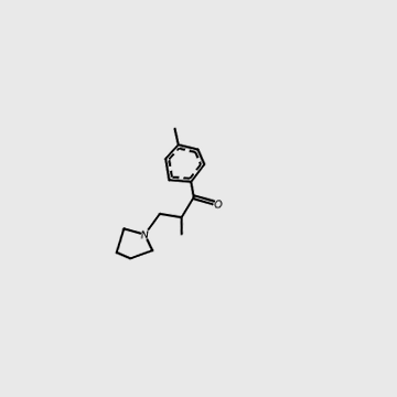 Cc1ccc(C(=O)C(C)CN2CCCC2)cc1